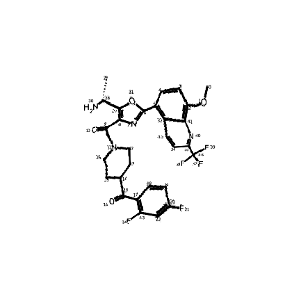 COc1ccc(-c2nc(C(=O)N3CCC(C(=O)c4ccc(F)cc4F)CC3)c([C@@H](C)N)o2)c2ccc(C(F)(F)F)nc12